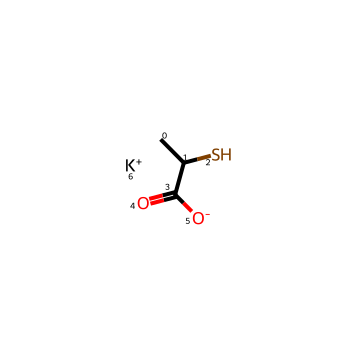 CC(S)C(=O)[O-].[K+]